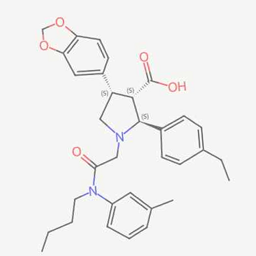 CCCCN(C(=O)CN1C[C@H](c2ccc3c(c2)OCO3)[C@H](C(=O)O)[C@H]1c1ccc(CC)cc1)c1cccc(C)c1